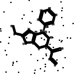 C=CC(=O)N1Cc2sc(CC)cc2[C@H](c2ccccc2)C1